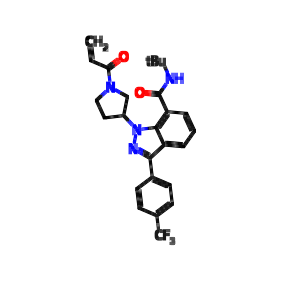 C=CC(=O)N1CCC(n2nc(-c3ccc(C(F)(F)F)cc3)c3cccc(C(=O)NC(C)(C)C)c32)C1